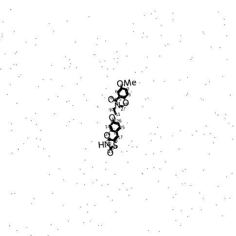 COc1ccc2c(c1)C(=O)N(CCOc1ccc(C=C3SC(=O)NC3=O)cc1)CO2